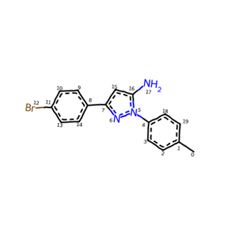 Cc1ccc(-n2nc(-c3ccc(Br)cc3)cc2N)cc1